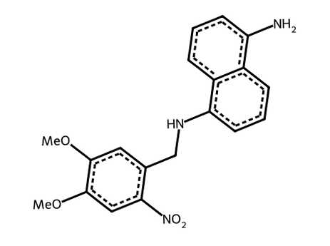 COc1cc(CNc2cccc3c(N)cccc23)c([N+](=O)[O-])cc1OC